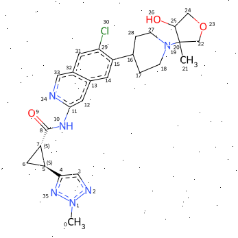 Cn1ncc([C@H]2C[C@@H]2C(=O)Nc2cc3cc(C4CCN(C5(C)COCC5O)CC4)c(Cl)cc3cn2)n1